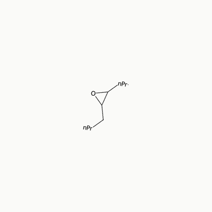 CC[CH]C1OC1CCCC